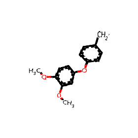 [CH2]c1ccc(Oc2ccc(OC)c(OC)c2)cc1